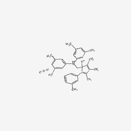 CC1=C(C)[C]([Ti+3])(C[SiH](c2cc(C)cc(C)c2)c2cc(C)cc(C)c2)C(c2cccc(C)c2)=C1C.[Cl-].[Cl-].[Cl-]